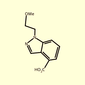 COCCn1ncc2c(C(=O)O)cccc21